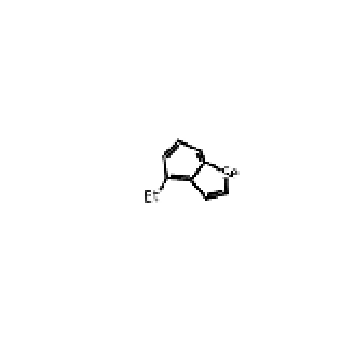 CCc1cccc2[se]ccc12